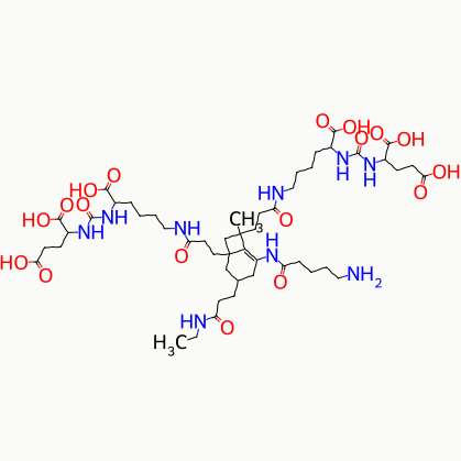 CCNC(=O)CCC1CC(NC(=O)CCCCN)=C2C(C)(CCC(=O)NCCCCC(NC(=O)NC(CCC(=O)O)C(=O)O)C(=O)O)CC2(CCC(=O)NCCCCC(NC(=O)NC(CCC(=O)O)C(=O)O)C(=O)O)C1